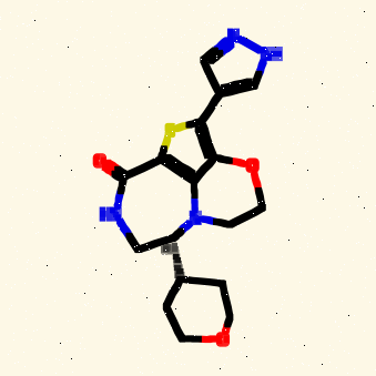 O=C1NC[C@@H](C2CCOCC2)N2CCOc3c(-c4cn[nH]c4)sc1c32